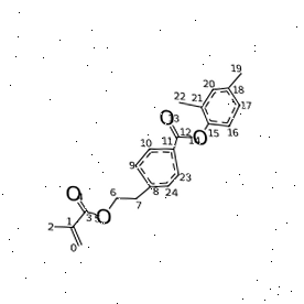 C=C(C)C(=O)OCCc1ccc(C(=O)Oc2ccc(C)cc2C)cc1